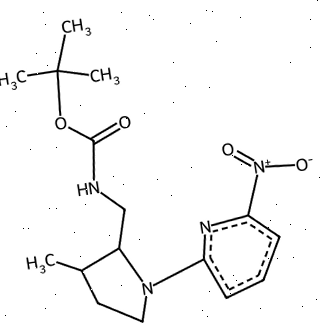 CC1CCN(c2cccc([N+](=O)[O-])n2)C1CNC(=O)OC(C)(C)C